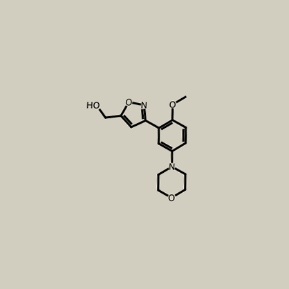 COc1ccc(N2CCOCC2)cc1-c1cc(CO)on1